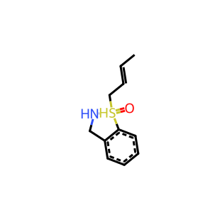 CC=CC[SH]1(=O)NCc2ccccc21